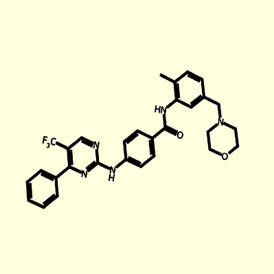 Cc1ccc(CN2CCOCC2)cc1NC(=O)c1ccc(Nc2ncc(C(F)(F)F)c(-c3ccccc3)n2)cc1